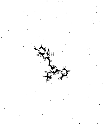 CN1C=C[N+]2(C)NC(CCc3nc(N4CCCC4=O)cn3CC(F)(F)F)=NC2=C1